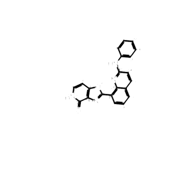 O=c1[nH]ccc2oc(-c3cccc4ccc(Nc5ccccc5)nc34)nc12